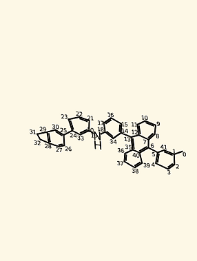 Cc1cccc(-c2c3ccccc3c(-c3cccc(Nc4cccc(-c5ccc6c(c5)CC6)c4)c3)c3ccccc23)c1